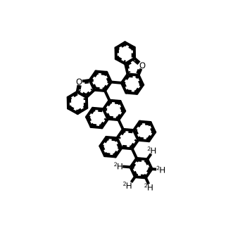 [2H]c1c([2H])c([2H])c(-c2c3ccccc3c(-c3ccc(-c4c(-c5cccc6oc7ccccc7c56)ccc5oc6ccccc6c45)c4ccccc34)c3ccccc23)c([2H])c1[2H]